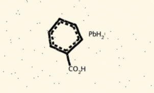 O=C(O)c1ccccc1.[PbH2]